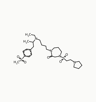 CCN(CCCCN1CCCN(S(=O)(=O)CCN2CCCC2)CC1=O)C(C)Cc1ccc(S(C)(=O)=O)cc1